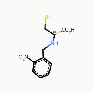 O=C(O)[C@@H](CS)NCc1ccccc1[N+](=O)[O-]